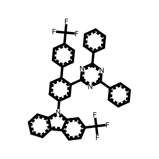 FC(F)(F)c1ccc(-c2ccc(-n3c4ccccc4c4ccc(C(F)(F)F)cc43)cc2-c2nc(-c3ccccc3)nc(-c3ccccc3)n2)cc1